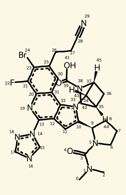 CN(C)C(=O)N1CCC[C@@H]1c1cc2c(-n3cncn3)nc3c(F)c(Br)c(CCC#N)cc3c2n1[C@H]1[C@@H]2C[C@H]1N(C(=O)O)C2